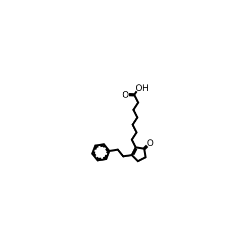 O=C(O)CCCCCCC1=C(CCc2ccccc2)CCC1=O